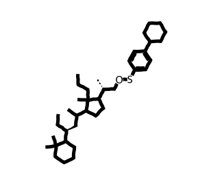 CCCC1(C)C(C(C)C[C@H](CC)C2CCCCC2(C)C)CCC1[C@H](C)COSc1ccc(C2CCCCC2)cc1